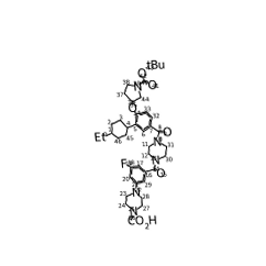 CCC1CCC(c2cc(C(=O)N3CCN(C(=O)c4cc(F)cc(N5CCN(C(=O)O)CC5)c4)CC3)ccc2OC2CCN(C(=O)OC(C)(C)C)C2)CC1